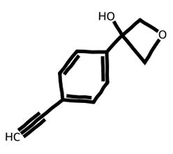 C#Cc1ccc(C2(O)COC2)cc1